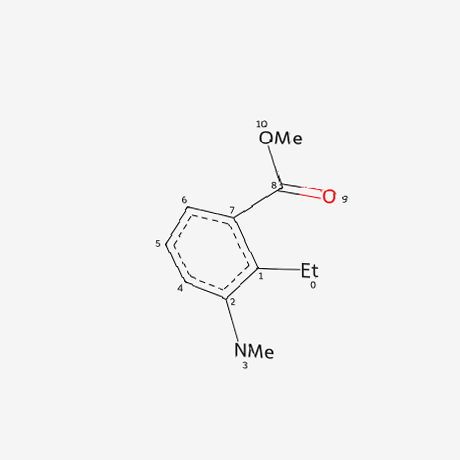 CCc1c(NC)cccc1C(=O)OC